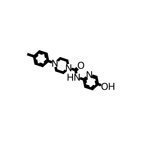 Cc1ccc(N2CCN(C(=O)Nc3ccc(O)cn3)CC2)cc1